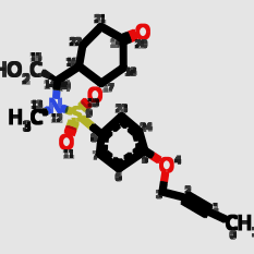 CC#CCOc1ccc(S(=O)(=O)N(C)[C@@H](C(=O)O)C2CCC(=O)CC2)cc1